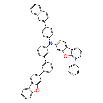 c1ccc(-c2cccc3c2oc2cc(N(c4ccc(-c5ccc6ccccc6c5)cc4)c4cccc(-c5cccc(-c6ccc7c(c6)oc6ccccc67)c5)c4)ccc23)cc1